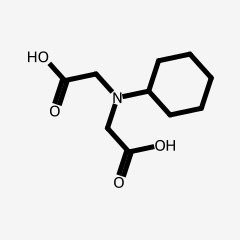 O=C(O)CN(CC(=O)O)C1CCCCC1